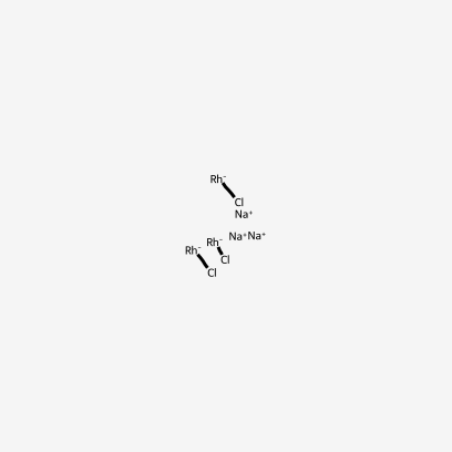 [Cl][Rh-].[Cl][Rh-].[Cl][Rh-].[Na+].[Na+].[Na+]